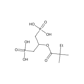 CCC(C)(C)C(=O)OC(CP(=O)(O)O)CP(=O)(O)O